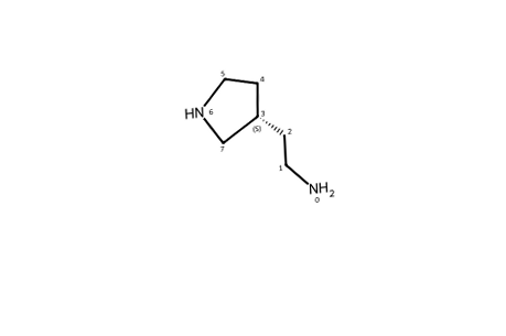 NCC[C@H]1CCNC1